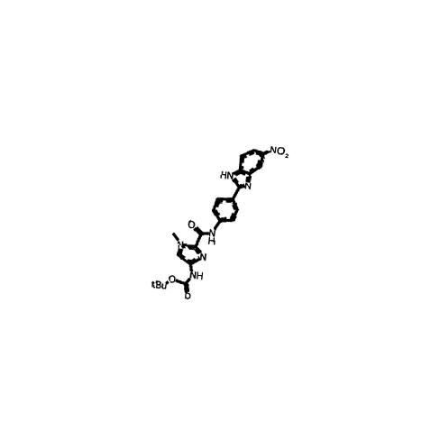 Cn1cc(NC(=O)OC(C)(C)C)nc1C(=O)Nc1ccc(-c2nc3cc([N+](=O)[O-])ccc3[nH]2)cc1